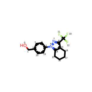 OCc1ccc(-n2nc(C(F)(F)F)c3c2CCCC3)cc1